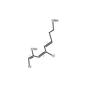 CC\C=C(C=O)/C=C(Cl)\C=C\CCOC